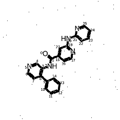 O=C(Nc1cnccc1-c1ccccc1)c1ccnc(Nc2ccccn2)c1